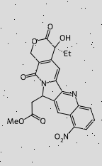 CC[C@@]1(O)C(=O)OCc2c1cc1n(c2=O)C(CC(=O)OC)c2cc3c([N+](=O)[O-])cccc3nc2-1